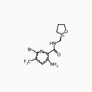 Nc1cc(C(F)(F)F)c(Br)nc1C(=O)NC[C@H]1CCCO1